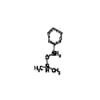 C[SiH](C)O[SiH2]c1ccccc1